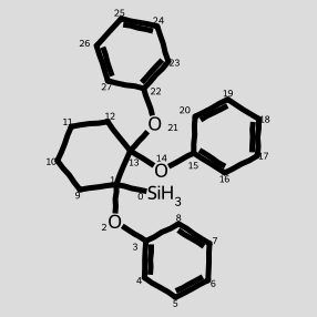 [SiH3]C1(Oc2ccccc2)CCCCC1(Oc1ccccc1)Oc1ccccc1